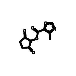 Cc1ncoc1C(=O)ON1C(=O)CCC1=O